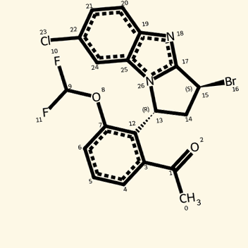 CC(=O)c1cccc(OC(F)F)c1[C@H]1C[C@H](Br)c2nc3ccc(Cl)cc3n21